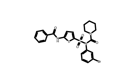 O=C(Nc1ccc(S(=O)(=O)N(C(=O)N2CCCCC2)c2cccc(Br)c2)s1)c1ccccc1